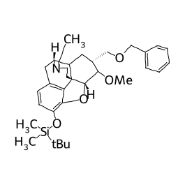 COC1[C@@H](COCc2ccccc2)CC2[C@H]3Cc4ccc(O[Si](C)(C)C(C)(C)C)c5c4[C@@]2(CCN3C)[C@H]1O5